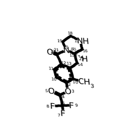 Cc1c(OC(=O)C(F)(F)F)ccc2c1C[C@@H]1CNCCN1C2=O